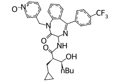 CCCC[C@H](O)[C@@H](CC1CC1)C(=O)NC1N=C(c2ccc(C(F)(F)F)cc2)c2ccccc2N(Cc2ccc[n+]([O-])c2)C1=O